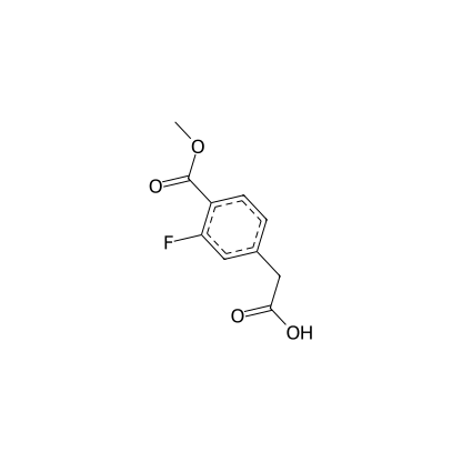 COC(=O)c1ccc(CC(=O)O)cc1F